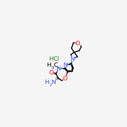 CN1C(=O)[C@@H](N)COc2ccc(N3CC4(CCOCC4)C3)nc21.Cl